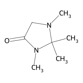 CN1CC(=O)N(C)C1(C)C